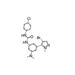 CN(C)c1cc(NC(=O)Nc2ccc(Cl)cc2)cc(-c2c(Br)cnn2C)c1